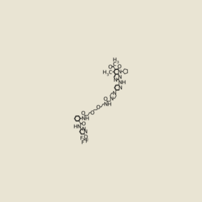 CC(=O)c1c(C)c2cnc(Nc3ccc(N4CCN(CC(=O)NCCOCCOCCC(=O)Nc5ccccc5C(=O)Nc5ccc(OC(F)(F)F)nn5)CC4)cn3)nc2n(C2CCCC2)c1=O